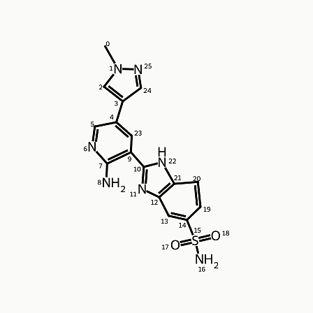 Cn1cc(-c2cnc(N)c(-c3nc4cc(S(N)(=O)=O)ccc4[nH]3)c2)cn1